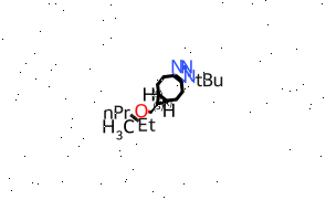 CCCC(C)(CC)OC[C@@H]1[C@@H]2CCc3c(nnn3C(C)(C)C)CC[C@@H]21